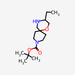 CCC1COC2(CCN(C(=O)OC(C)(C)C)CC2)CN1